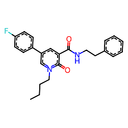 CCCCn1cc(-c2ccc(F)cc2)cc(C(=O)NCCc2ccccc2)c1=O